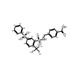 O=C(O)c1ccc(CNS(=O)(=O)c2cc(S(=O)(=O)c3ccccc3)ccc2C(F)(F)F)cc1